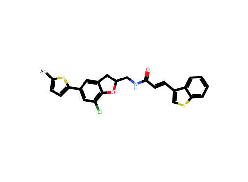 CC(=O)c1ccc(-c2cc(Cl)c3c(c2)CC(CNC(=O)/C=C/c2csc4ccccc24)O3)s1